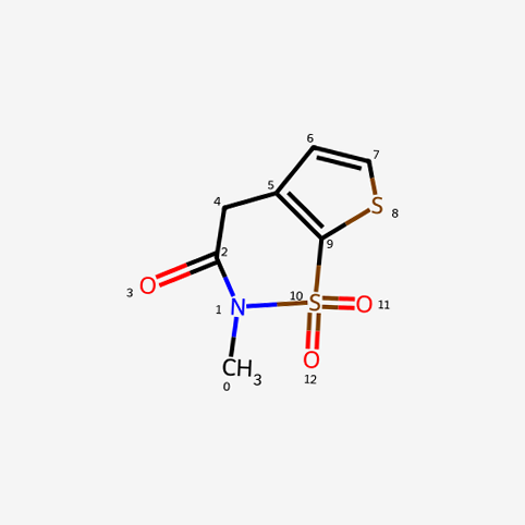 CN1C(=O)Cc2ccsc2S1(=O)=O